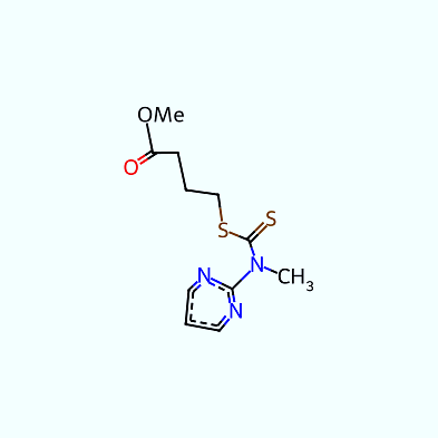 COC(=O)CCCSC(=S)N(C)c1ncccn1